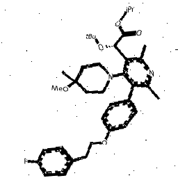 COC1(C)CCN(c2c(-c3ccc(OCCc4ccc(F)cc4)cc3)c(C)nc(C)c2[C@H](OC(C)(C)C)C(=O)OC(C)C)CC1